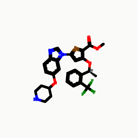 COC(=O)c1sc(-n2cnc3ccc(OC4CCNCC4)cc32)cc1O[C@H](C)c1ccccc1C(F)(F)F